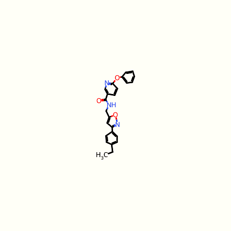 CCc1ccc(-c2cc(CNC(=O)c3ccc(Oc4ccccc4)nc3)on2)cc1